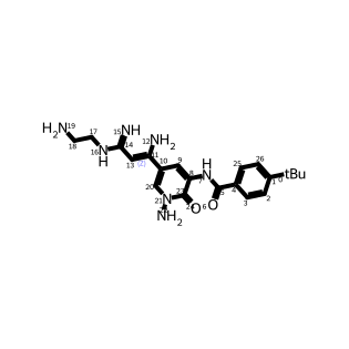 CC(C)(C)c1ccc(C(=O)Nc2cc(/C(N)=C/C(=N)NCCN)cn(N)c2=O)cc1